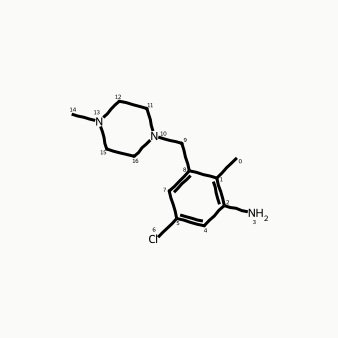 Cc1c(N)cc(Cl)cc1CN1CCN(C)CC1